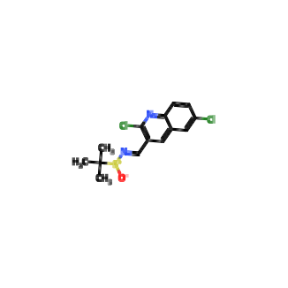 CC(C)(C)[S+]([O-])N=Cc1cc2cc(Cl)ccc2nc1Cl